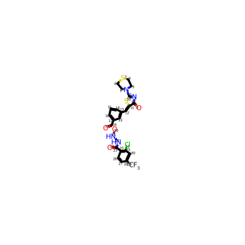 O=C1N=C(N2CCSCC2)SC1=Cc1cccc(C(=O)ONNC(=O)c2ccc(C(F)(F)F)cc2Cl)c1